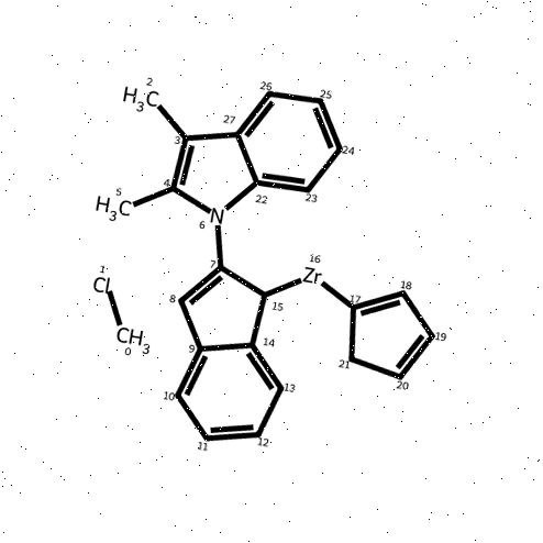 CCl.Cc1c(C)n(C2=Cc3ccccc3[CH]2[Zr][C]2=CC=CC2)c2ccccc12